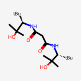 CC(C)(C)[C@@H](NC(=O)CC(=O)N[C@H](C(C)(C)C)C(C)(C)O)C(C)(C)O